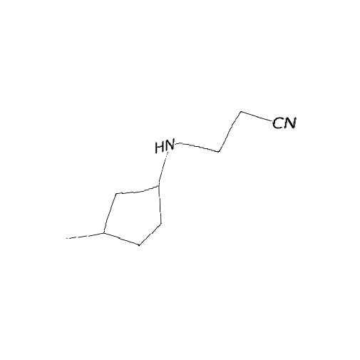 CC1CCC(NCCC#N)C1